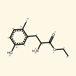 CCOC(=O)C(N)Cc1cc(O)ccc1I